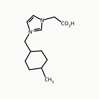 CC1CCC(C[n+]2ccn(CC(=O)O)c2)CC1